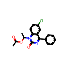 CC(=O)OC(C)n1c(=O)nc(-c2ccccc2)c2cc(Cl)ccc21